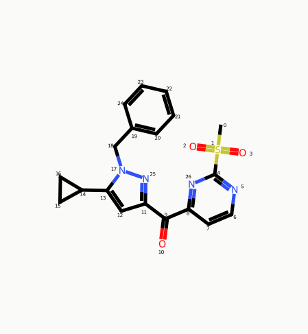 CS(=O)(=O)c1nccc(C(=O)c2cc(C3CC3)n(Cc3ccccc3)n2)n1